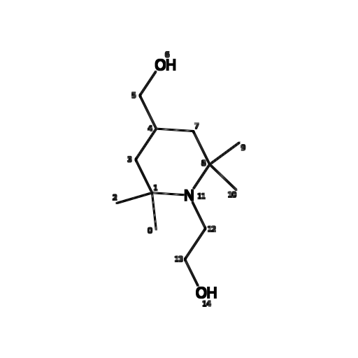 CC1(C)CC(CO)CC(C)(C)N1CCO